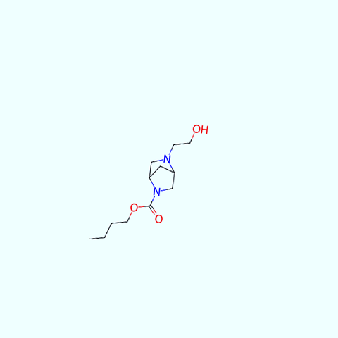 CCCCOC(=O)N1CC2CC1CN2CCO